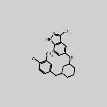 Cc1cc(CN2CCCC(Nc3cnc4[nH]nc(C)c4c3)C2)ccc1Cl